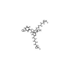 C#CC(I)[N+](CCCCCCCCC)(CCCCCCCCC)CCc1ccccc1.[Cl-]